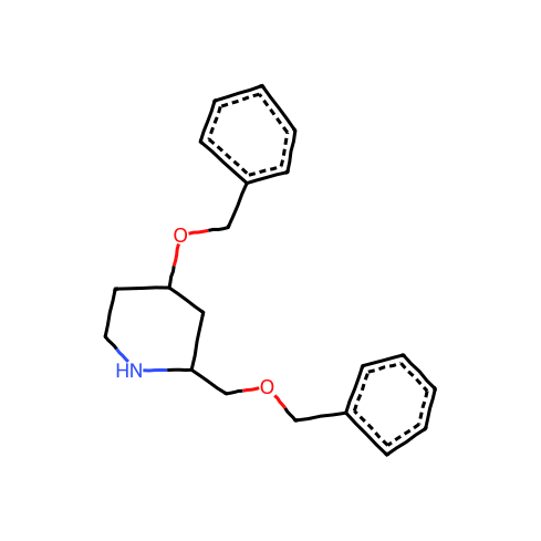 c1ccc(COCC2CC(OCc3ccccc3)CCN2)cc1